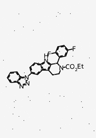 CCOC(=O)N1CCc2c([nH]c3ccc(-n4nnc5ccccc54)cc23)C1c1cc(F)ccc1F